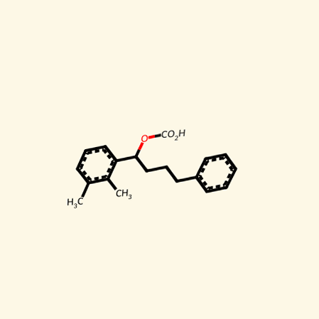 Cc1cccc(C(CCCc2ccccc2)OC(=O)O)c1C